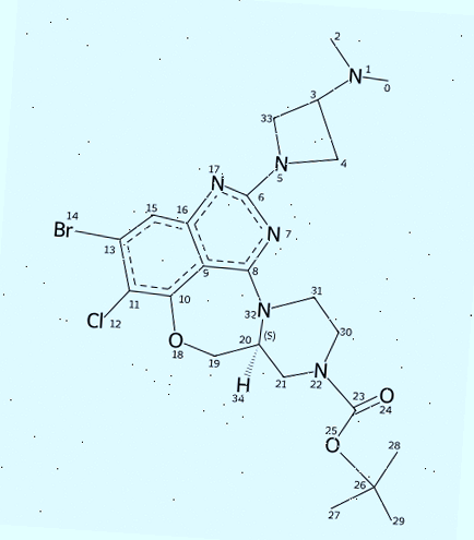 CN(C)C1CN(c2nc3c4c(c(Cl)c(Br)cc4n2)OC[C@@H]2CN(C(=O)OC(C)(C)C)CCN32)C1